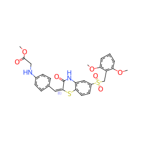 COC(=O)CNc1ccc(/C=C2/Sc3ccc(S(=O)(=O)Cc4c(OC)cccc4OC)cc3NC2=O)cc1